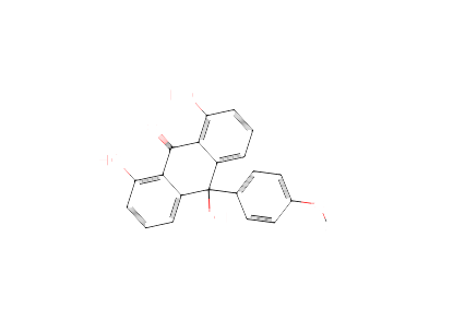 COc1ccc(C2(O)c3cccc(O)c3C(=O)c3c(O)cccc32)cc1